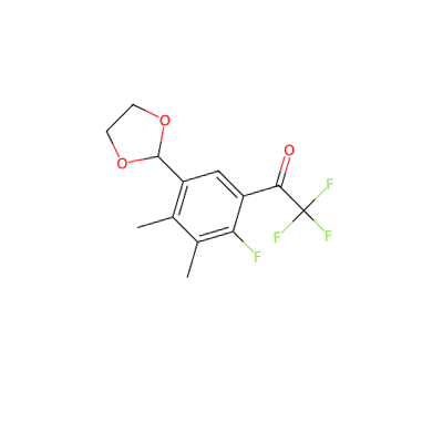 Cc1c(C2OCCO2)cc(C(=O)C(F)(F)F)c(F)c1C